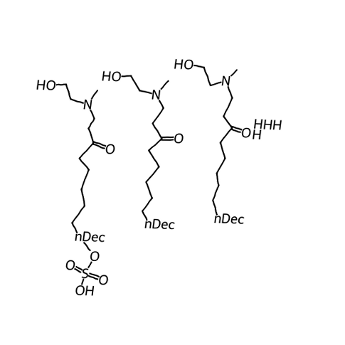 CCCCCCCCCCCCCCCC(=O)CCN(C)CCO.CCCCCCCCCCCCCCCC(=O)CCN(C)CCO.CCCCCCCCCCCCCCCC(=O)CCN(C)CCO.COS(=O)(=O)O.[HH].[HH]